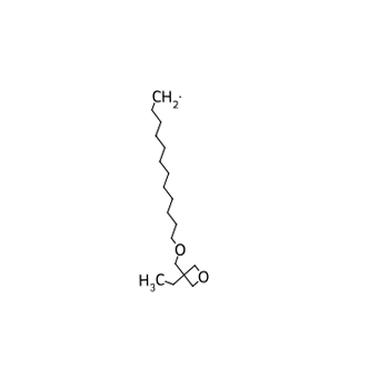 [CH2]CCCCCCCCCCCOCC1(CC)COC1